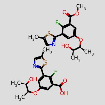 COC(=O)c1cc(O[C@@H](C)[C@@H](C)O)cc(-c2ncc(C)s2)c1F.Cc1cnc(-c2cc(O[C@@H](C)[C@@H](C)O)cc(C(=O)O)c2F)s1